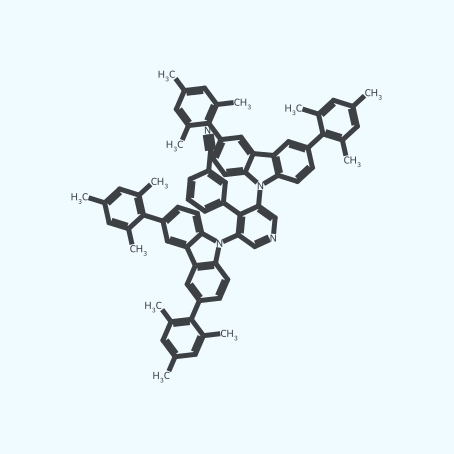 Cc1cc(C)c(-c2ccc3c(c2)c2cc(-c4c(C)cc(C)cc4C)ccc2n3-c2cncc(-n3c4ccc(-c5c(C)cc(C)cc5C)cc4c4cc(-c5c(C)cc(C)cc5C)ccc43)c2-c2cccc(C#N)c2)c(C)c1